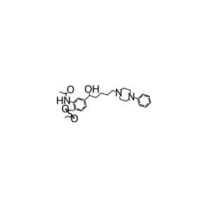 CC(=O)Nc1cc(C(O)CCCCN2CCN(c3ccccc3)CC2)ccc1S(C)(=O)=O